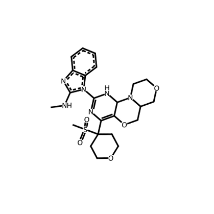 CNc1nc2ccccc2n1C1=NC(C2(S(C)(=O)=O)CCOCC2)=C2OCC3COCCN3C2N1